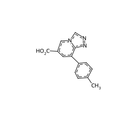 Cc1ccc(-c2cc(C(=O)O)cn3cnnc23)cc1